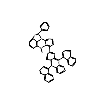 CCN1c2c(-c3ccc4c(-c5cccc6ccccc56)c5ccccc5c(-c5cccc6ccccc56)c4c3)cccc2-n2c(-c3ccccc3)nc3cccc1c32